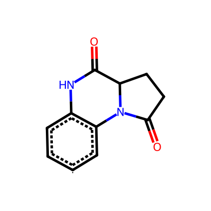 O=C1Nc2cc[c]cc2N2C(=O)CCC12